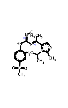 C/N=C(\N=C(/C)c1cnc(C)n1C(C)C)Nc1ccc(S(C)(=O)=O)cc1